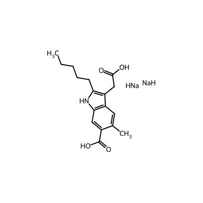 CCCCCc1[nH]c2cc(C(=O)O)c(C)cc2c1CC(=O)O.[NaH].[NaH]